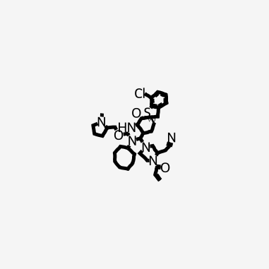 C=CC(=O)N1CCN(C2C3CC[C@@]4(Cc5cccc(Cl)c5S4)C(=O)C3NC(OCC3CCCN3C)N2C2CCCCCCC2)CC1CC#N